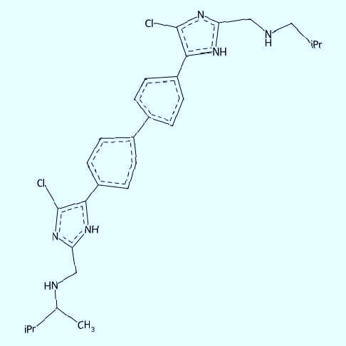 CC(C)CNCc1nc(Cl)c(-c2ccc(-c3ccc(-c4[nH]c(CNC(C)C(C)C)nc4Cl)cc3)cc2)[nH]1